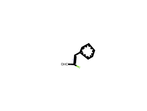 O=C/C(F)=C/c1ccccc1